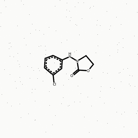 O=C1OCCN1Nc1cccc(Cl)c1